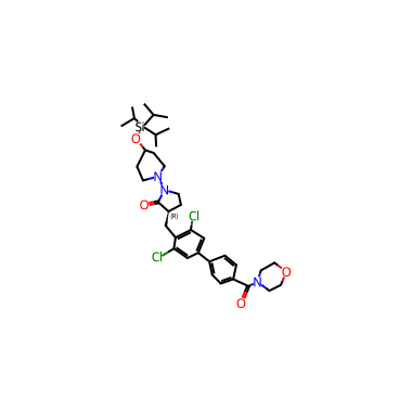 CC(C)[Si](OC1CCN(N2CC[C@@H](Cc3c(Cl)cc(-c4ccc(C(=O)N5CCOCC5)cc4)cc3Cl)C2=O)CC1)(C(C)C)C(C)C